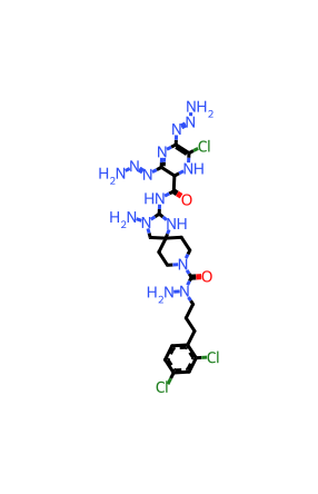 NN=NC1=NC(N=NN)=C(Cl)NC1C(=O)NC1NC2(CCN(C(=O)N(N)CCCc3ccc(Cl)cc3Cl)CC2)CN1N